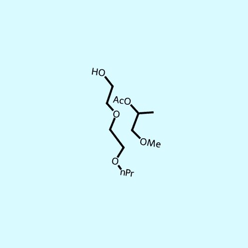 CCCOCCOCCO.COCC(C)OC(C)=O